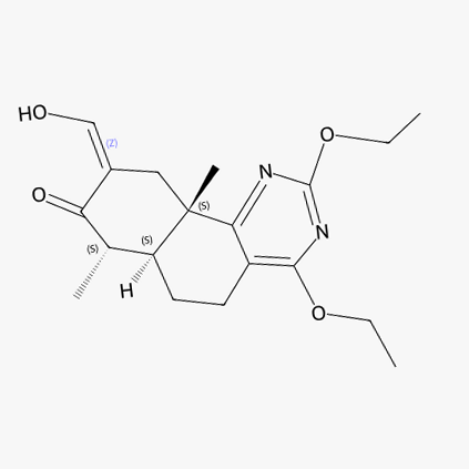 CCOc1nc(OCC)c2c(n1)[C@@]1(C)C/C(=C/O)C(=O)[C@@H](C)[C@@H]1CC2